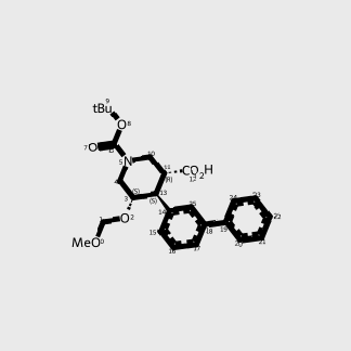 COCO[C@@H]1CN(C(=O)OC(C)(C)C)C[C@H](C(=O)O)[C@H]1c1cccc(-c2ccccc2)c1